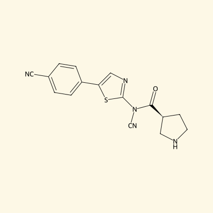 N#Cc1ccc(-c2cnc(N(C#N)C(=O)[C@H]3CCNC3)s2)cc1